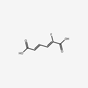 O=C(O)C=CC=C(F)C(=O)O